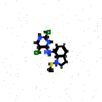 CCSN1CCc2cccc(Nc3nc(Cl)ncc3Cl)c21